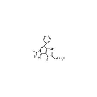 Cc1nnc2c(C(=O)NCC(=O)O)c(O)c(-c3ccccc3)cn12